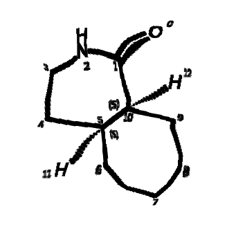 O=C1NCC[C@@H]2CCCC[C@H]12